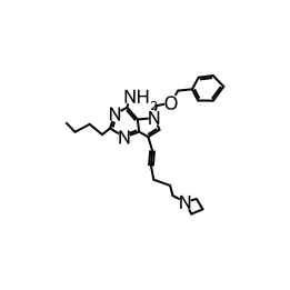 CCCCc1nc(N)c2c(n1)c(C#CCCCN1CCC1)cn2COCc1ccccc1